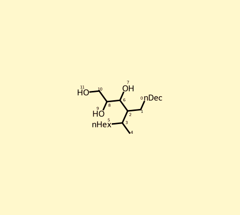 CCCCCCCCCCCC(C(C)CCCCCC)C(O)C(O)CO